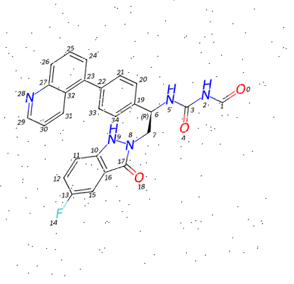 O=CNC(=O)N[C@@H](Cn1[nH]c2ccc(F)cc2c1=O)c1ccc(-c2cccc3ncccc23)cc1